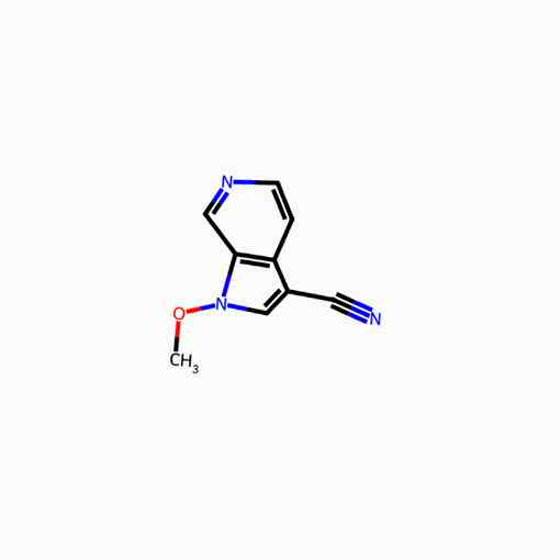 COn1cc(C#N)c2ccncc21